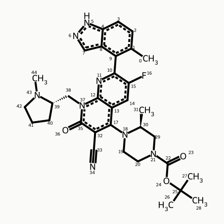 Cc1ccc2[nH]ncc2c1-c1nc2c(cc1F)c(N1CCN(C(=O)OC(C)(C)C)C[C@@H]1C)c(C#N)c(=O)n2C[C@@H]1CCCN1C